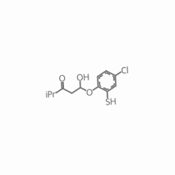 CC(C)C(=O)CC(O)Oc1ccc(Cl)cc1S